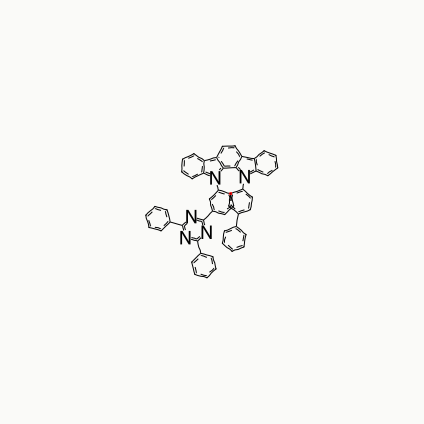 c1ccc(-c2ccc(-n3c4ccccc4c4ccc5c6ccccc6n(-c6cccc(-c7nc(-c8ccccc8)nc(-c8ccccc8)n7)c6)c5c43)cc2)cc1